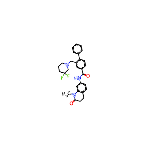 CN1C(=O)CCc2ccc(NC(=O)c3ccc(-c4ccccc4)c(CN4CCCC(F)(F)C4)c3)cc21